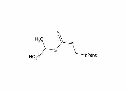 CCCCCCSC(=S)SC(C)C(=O)O